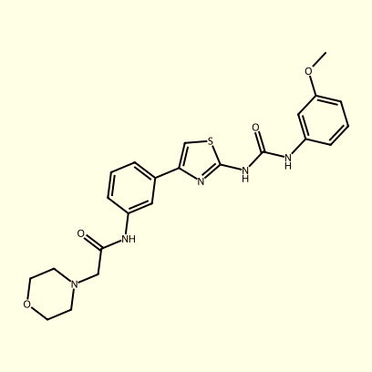 COc1cccc(NC(=O)Nc2nc(-c3cccc(NC(=O)CN4CCOCC4)c3)cs2)c1